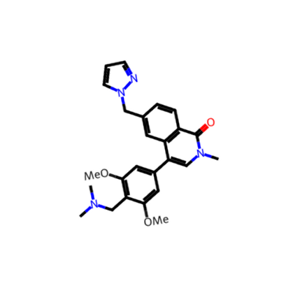 COc1cc(-c2cn(C)c(=O)c3ccc(Cn4cccn4)cc23)cc(OC)c1CN(C)C